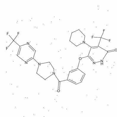 O=C(c1cccc(Oc2n[nH]c(=O)c(C(F)(F)F)c2N2CCCCC2)c1)N1CCN(c2cnc(C(F)(F)F)cn2)CC1